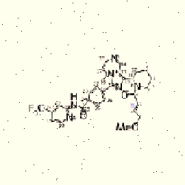 COC/C=C/C(=O)N1CCCCC1C1=C2C=NC=C[N+]2(C)C(c2ccc(C(=O)Nc3cc(C(F)(F)F)ccn3)cc2)=N1